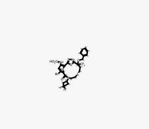 O=C(O)Nc1cc(Br)c2nc1-c1nnc(o1)C(OCc1ccccc1)(C(F)(F)F)CCCCCN(C1CC(F)(F)C1)C2=O